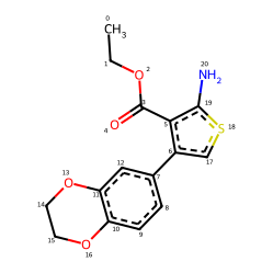 CCOC(=O)c1c(-c2ccc3c(c2)OCCO3)csc1N